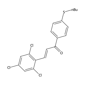 CCCCSc1ccc(C(=O)/C=C/c2c(Cl)cc(Cl)cc2Cl)cc1